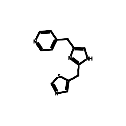 c1cc(Cc2c[nH]c(Cc3cncs3)n2)ccn1